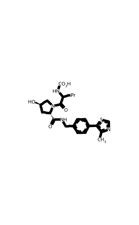 Cc1ncsc1-c1ccc(CNC(=O)[C@@H]2C[C@@H](O)CN2C(=O)C(NC(=O)O)C(C)C)cc1